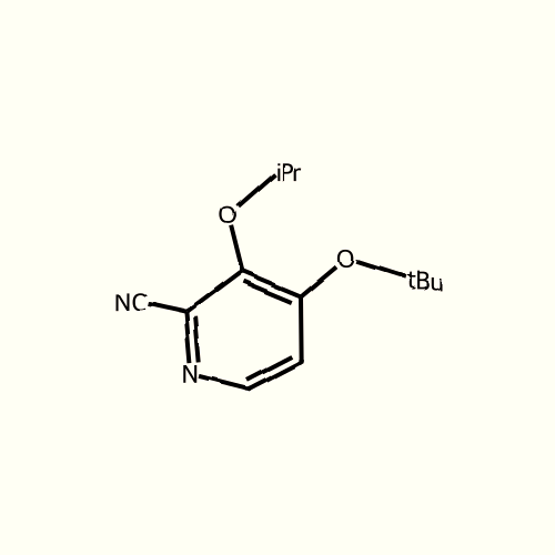 CC(C)Oc1c(OC(C)(C)C)ccnc1C#N